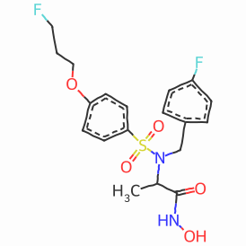 CC(C(=O)NO)N(Cc1ccc(F)cc1)S(=O)(=O)c1ccc(OCCCF)cc1